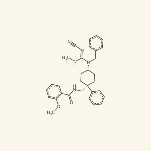 CNC(=NC#N)N(Cc1ccccc1)[C@H]1CC[C@](CNC(=O)c2ccccc2OC)(c2ccccc2)CC1